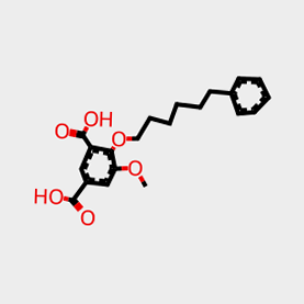 COc1cc(C(=O)O)cc(C(=O)O)c1OCCCCCCc1ccccc1